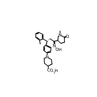 Cc1ccccc1[C@H](CC(=NO)C1CCC(=O)N(C)C1)c1ccc(N2CCC(C(=O)O)CC2)cc1